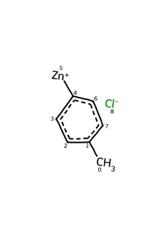 Cc1cc[c]([Zn+])cc1.[Cl-]